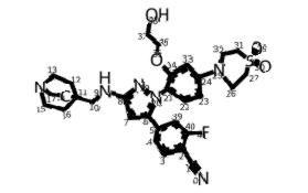 N#Cc1ccc(-c2cc(NCC34CCN(CC3)CC4)nn2-c2ccc(N3CCS(=O)(=O)CC3)cc2OCCO)cc1F